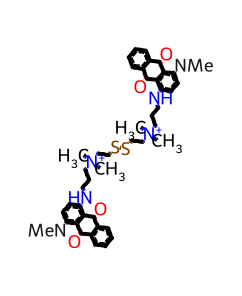 CNc1ccc(NCCC[N+](C)(C)CCSSCC[N+](C)(C)CCCNc2ccc(NC)c3c2C(=O)c2ccccc2C3=O)c2c1C(=O)c1ccccc1C2=O